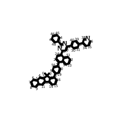 CC1(C)c2cc3ccccc3cc2-c2cccc(-c3ccc(-c4ccc(-c5cc(-c6ccc(-c7cccnc7)cc6)nc(-c6ccccc6)n5)c5ccccc45)cc3)c21